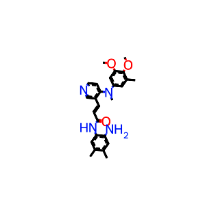 COc1cc(N(C)c2ccncc2/C=C/C(=O)Nc2cc(C)c(C)cc2N)cc(C)c1OC